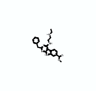 CCNCCNc1nc(Cc2ccccc2)nc2[nH]c3cc(C(=O)OC)ccc3c12